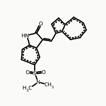 CN(C)S(=O)(=O)c1ccc2c(c1)C(=Cc1ccc3cccccc1-3)C(=O)N2